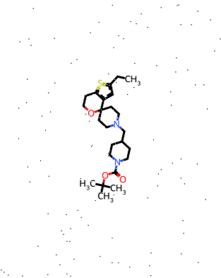 CCc1cc2c(s1)CCOC21CCN(CC2CCN(C(=O)OC(C)(C)C)CC2)CC1